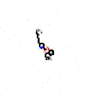 CCCCCCc1ccc(C(=O)OC(CC)c2ccccc2)nc1